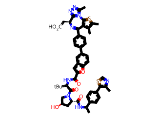 Cc1ncsc1-c1ccc(C(C)NC(=O)[C@@H]2C[C@@H](O)CN2C(=O)C(NC(=O)c2cc3cc(-c4ccc(C5=N[C@@H](CC(=O)O)c6nnc(C)n6-c6sc(C)c(C)c65)cc4)ccc3o2)C(C)(C)C)cc1